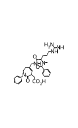 CN(C(=O)c1ccccc1)C(CCCNC(=N)N)C(=O)NCC1=CC(CC(=O)O)C(=O)N(c2ccccc2)CC1